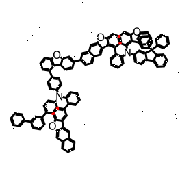 C1=CC2c3c(cccc3-c3ccc(N(c4ccc(-c5cccc(-c6ccccc6)c5)cc4)c4ccccc4-c4ccc5oc6cc7ccccc7cc6c5c4)cc3)OC2C=C1c1ccc2cc3c(cc2c1)oc1cccc(-c2ccccc2N(c2ccc4c(c2)C(c2ccccc2)(c2ccccc2)c2ccccc2-4)c2cccc4oc5ccccc5c24)c13